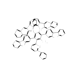 N#Cc1c(-c2cccc(-c3ccccc3)n2)c(-c2ccc3c(c2)oc2ccccc23)c(-n2c3ccccc3c3cc4ccccc4cc32)c(-n2c3ccccc3c3cc4ccccc4cc32)c1-c1ccc2c(c1)oc1ccccc12